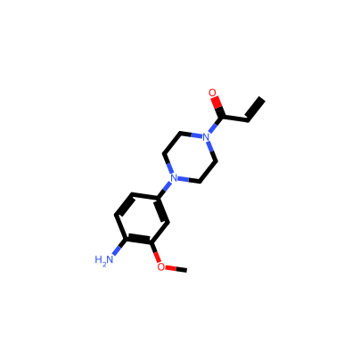 C=CC(=O)N1CCN(c2ccc(N)c(OC)c2)CC1